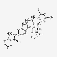 CN(C(=O)C1CCCCC1)c1ccc2c(c1)nc(NC(=O)Nc1c(F)cc(C#N)cc1F)n2CCC(C)(C)O